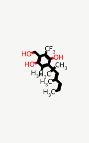 C/C=C\C(C)=C\C(C)(C)c1c(C)c(O)c(CO)c(C(F)(F)F)c1O